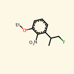 CCOc1cccc([C](C)CF)c1[N+](=O)[O-]